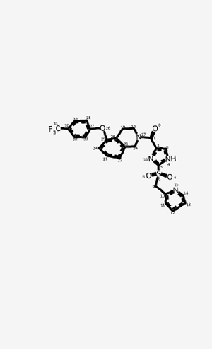 O=C(c1c[nH]c(S(=O)(=O)Cc2ccccn2)n1)N1CCc2c(cccc2Oc2ccc(C(F)(F)F)cc2)C1